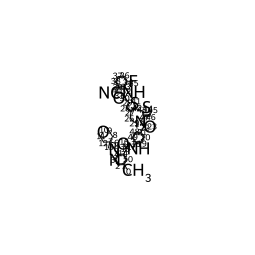 Cc1cnc(N2CC3(CCOCC3)C2)c(C(=O)Nc2ccc(C(=O)N3CCc4cc(C(=O)Nc5c(F)cccc5C#N)sc4-c4sccc43)cc2)c1